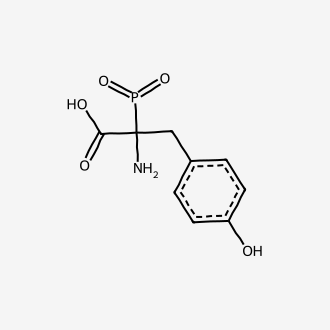 NC(Cc1ccc(O)cc1)(C(=O)O)P(=O)=O